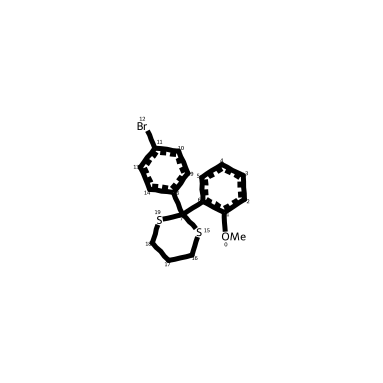 COc1ccccc1C1(c2ccc(Br)cc2)SCCCS1